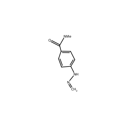 C=NNc1ccc(C(=O)NC)cc1